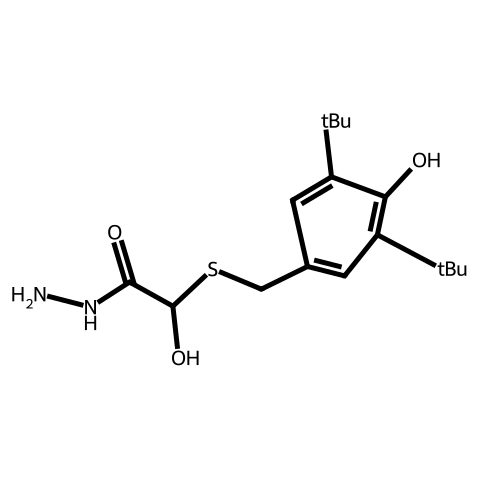 CC(C)(C)c1cc(CSC(O)C(=O)NN)cc(C(C)(C)C)c1O